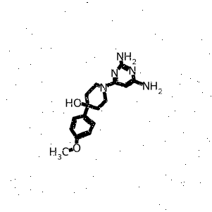 COc1ccc(C2(O)CCN(c3cc(N)nc(N)n3)CC2)cc1